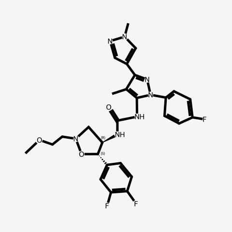 COCCN1C[C@@H](NC(=O)Nc2c(C)c(-c3cnn(C)c3)nn2-c2ccc(F)cc2)[C@H](c2ccc(F)c(F)c2)O1